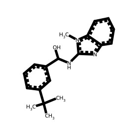 Cn1c(NC(O)c2cccc(C(C)(C)C)c2)nc2ccccc21